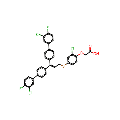 O=C(O)COc1ccc(SCC=C(c2ccc(-c3ccc(F)c(Cl)c3)cc2)c2ccc(-c3ccc(F)c(Cl)c3)cc2)cc1Cl